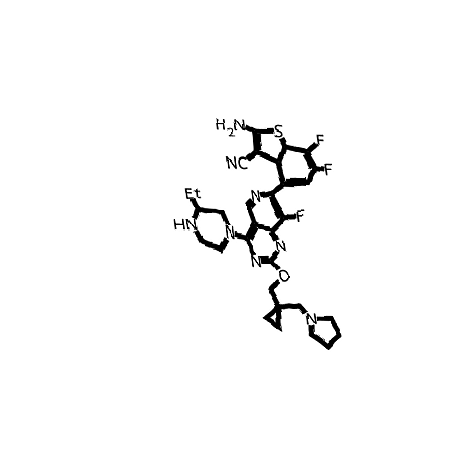 CCC1CN(c2nc(OCC3(CN4CCCC4)CC3)nc3c(F)c(C4=CC(F)=C(F)C5SC(N)=C(C#N)C45)ncc23)CCN1